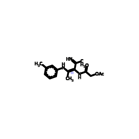 CC(=N)/C(NC(=O)COC(C)=O)=C(/C)Nc1cccc(C)c1